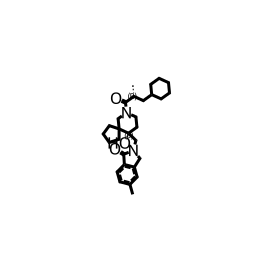 Cc1ccc2c(c1)CN(C[C@]1(O)CCN(C(=O)[C@H](C)CC3CCCCC3)CC13CCCC3)C2=O